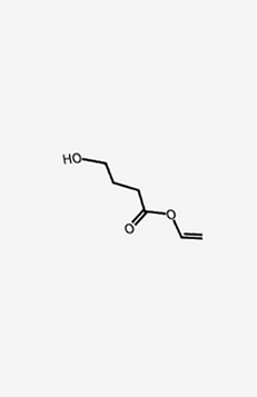 C=COC(=O)CCCO